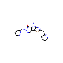 Cn1c2nc(Cc3ccccn3)sc2c2cnn(Cc3ccccn3)c(=O)c21